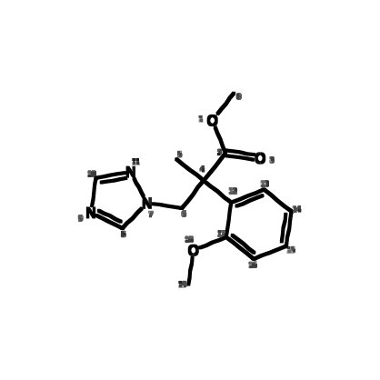 COC(=O)C(C)(Cn1cncn1)c1ccccc1OC